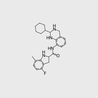 Cc1ccc(F)c2c1NC(C(=O)Nc1cccc3c1NC(C1CCCCC1)NC3)C2